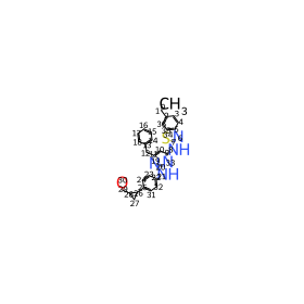 CCc1ccc2nc(Nc3cc(Cc4ccccc4)nc(Nc4ccc(C5CC5C=O)cc4)n3)sc2c1